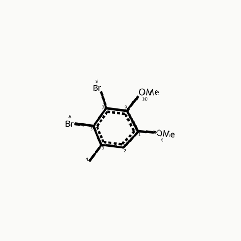 COc1cc(C)c(Br)c(Br)c1OC